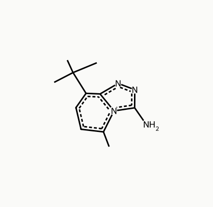 Cc1ccc(C(C)(C)C)c2nnc(N)n12